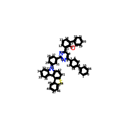 c1ccc(-c2ccc(-c3cc(-c4cccc5c4oc4ccccc45)nc(-c4cccc(-n5c6ccccc6c6c7c(ccc65)sc5ccccc57)c4)n3)cc2)cc1